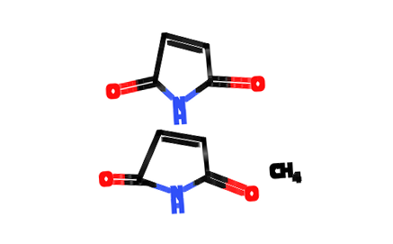 C.O=C1C=CC(=O)N1.O=C1C=CC(=O)N1